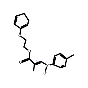 C/C(=C\[S+]([O-])c1ccc(C)cc1)C(=O)OCCOC1=CCCC=C1